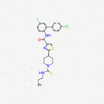 CC(C)CCNC(=S)N1CCC(c2nc(C(=O)Nc3ccc(F)cc3-c3ccc(Cl)cc3)cs2)CC1